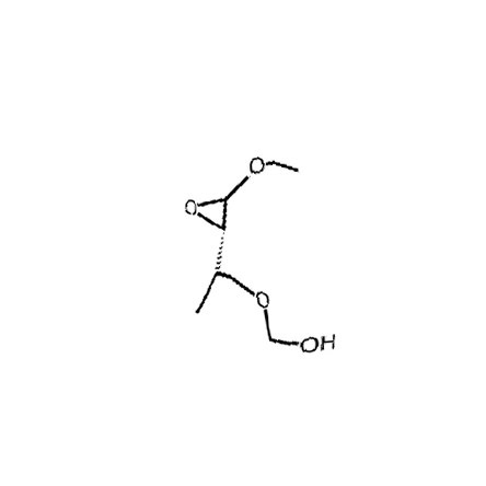 COC1O[C@H]1C(C)OCO